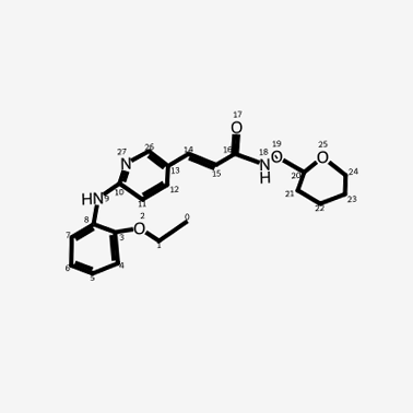 CCOc1ccccc1Nc1ccc(C=CC(=O)NOC2CCCCO2)cn1